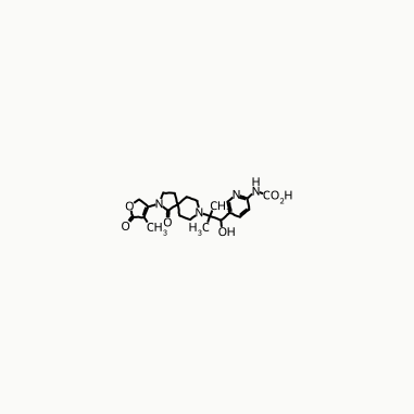 CC1=C(N2CCC3(CCN(C(C)(C)C(O)c4ccc(NC(=O)O)nc4)CC3)C2=O)COC1=O